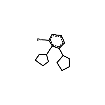 CC(C)c1cccc(C2CCCC2)c1C1CCCC1